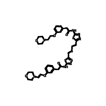 O=C(Cc1cccc(OCCN2CCOCC2)c1)Nc1nnc(CCSCc2nnc(NC(=O)Cc3cccc(OCCN4CCOCC4)c3)s2)s1